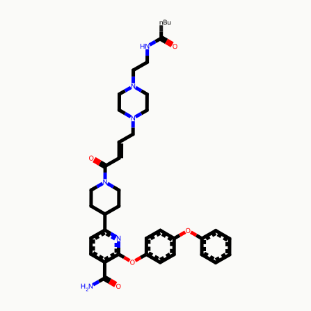 CCCCC(=O)NCCN1CCN(C/C=C/C(=O)N2CCC(c3ccc(C(N)=O)c(Oc4ccc(Oc5ccccc5)cc4)n3)CC2)CC1